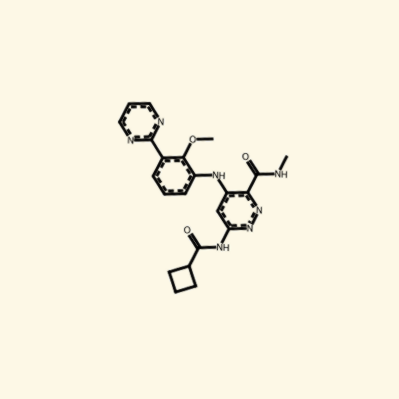 CNC(=O)c1nnc(NC(=O)C2CCC2)cc1Nc1cccc(-c2ncccn2)c1OC